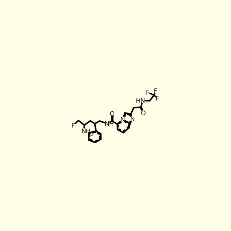 NC(CF)CC(CNC(=O)c1cccc2nc(CC(=O)NCC(F)(F)F)cn12)c1ccccc1